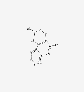 CC(C)(C)C1CCc2c(c3ccccc3c[n+]2O)C1